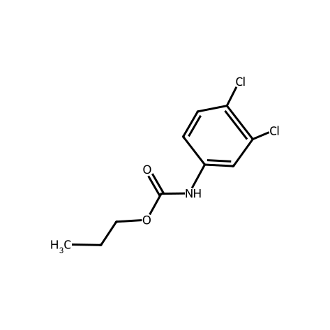 CCCOC(=O)Nc1ccc(Cl)c(Cl)c1